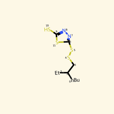 CCCCC(CC)CSSc1nnc(S)s1